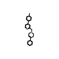 Cc1ccc(-c2ccnc(CN3CC=C(c4ccccc4)CC3)c2)cc1